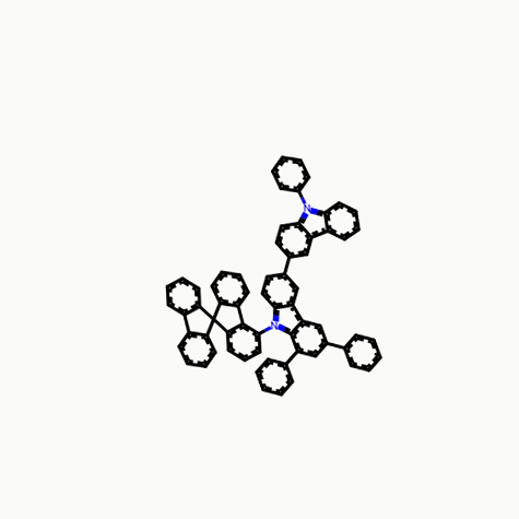 c1ccc(-c2cc(-c3ccccc3)c3c(c2)c2cc(-c4ccc5c(c4)c4ccccc4n5-c4ccccc4)ccc2n3-c2cccc3c2-c2ccccc2C32c3ccccc3-c3ccccc32)cc1